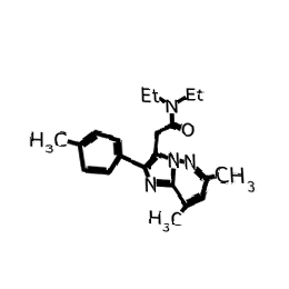 CCN(CC)C(=O)Cc1c(-c2ccc(C)cc2)nc2c(C)cc(C)nn12